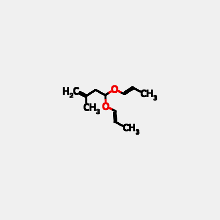 C=C(C)CC(OC=CC)OC=CC